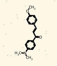 COc1ccc(C=CC(=O)c2ccc(N(C)C)cc2)cc1